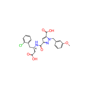 COc1cccc(Cn2nc(C(=O)N[C@@H](CC(=O)O)Cc3ccccc3Cl)cc2C(=O)O)c1